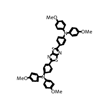 COc1ccc(N(c2ccc(OC)cc2)c2ccc(-c3nc4sc(-c5ccc(N(c6ccc(OC)cc6)c6ccc(OC)cc6)cc5)nc4s3)cc2)cc1